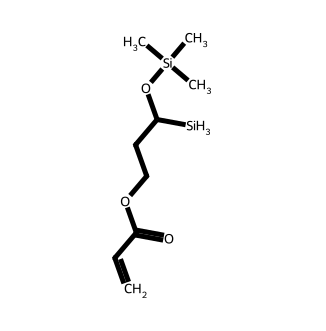 C=CC(=O)OCCC([SiH3])O[Si](C)(C)C